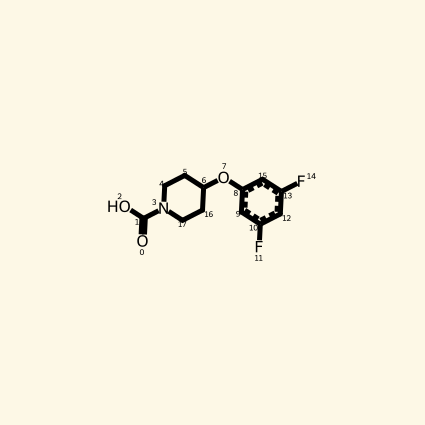 O=C(O)N1CCC(Oc2cc(F)cc(F)c2)CC1